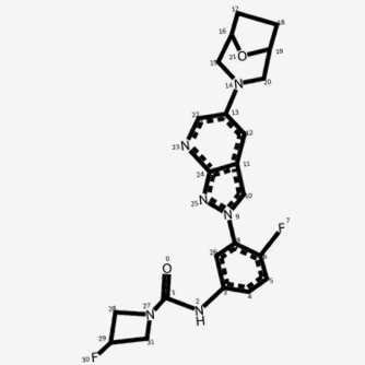 O=C(Nc1ccc(F)c(-n2cc3cc(N4CC5CCC(C4)O5)cnc3n2)c1)N1CC(F)C1